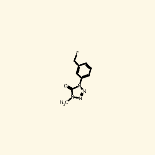 Cn1nnn(-c2cccc(CF)c2)c1=O